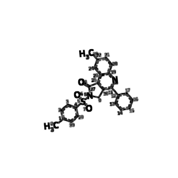 Cc1ccc(S(=O)(=O)N2Cc3c(-c4ccccc4)nc4ccc(C)cc4c3C2=O)cc1